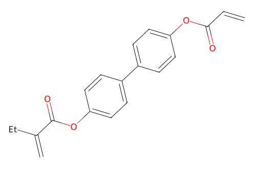 C=CC(=O)Oc1ccc(-c2ccc(OC(=O)C(=C)CC)cc2)cc1